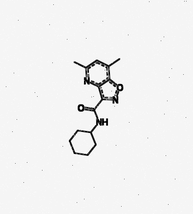 Cc1cc(C)c2onc(C(=O)NC3CCCCC3)c2n1